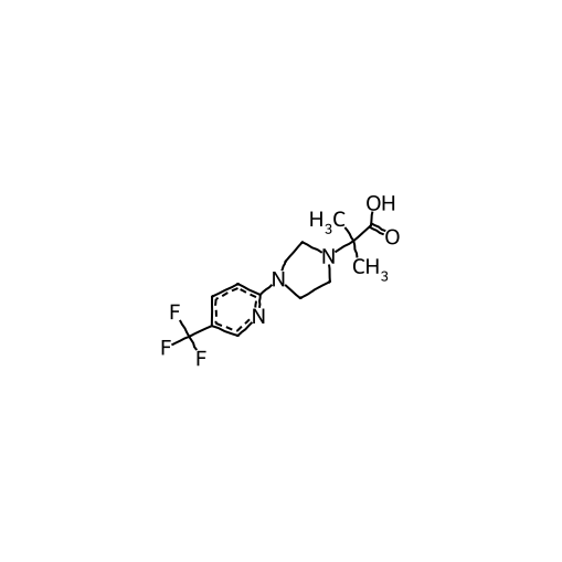 CC(C)(C(=O)O)N1CCN(c2ccc(C(F)(F)F)cn2)CC1